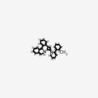 Cc1ccccc1-c1cccc[n+]1C1=CC2c3ccccc3-c3c4ccccc4cc[n+]3C12